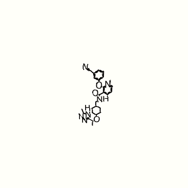 Cc1nnc(C(C)OC2CCC(CNC(=O)c3cccnc3Oc3cccc(C#N)c3)CC2)[nH]1